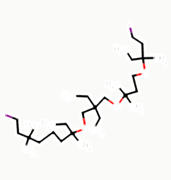 CCC(CC)(COC(C)(C)CCOC(C)(CC)CCI)COC(C)(CC)CCCC(C)(C)CCI